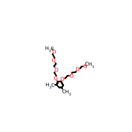 COCCOCCOCCOc1cc(C)cc(C)c1OCCOCCOCCOC